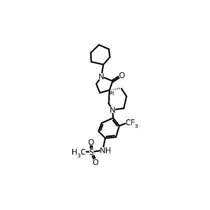 CS(=O)(=O)Nc1ccc(N2CCC[C@@]3(CCN(C4CCCCC4)C3=O)C2)c(C(F)(F)F)c1